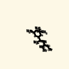 CC(C)N=C(NC(C)C)NC(C)C1CC(N)CC(C)(C)C1